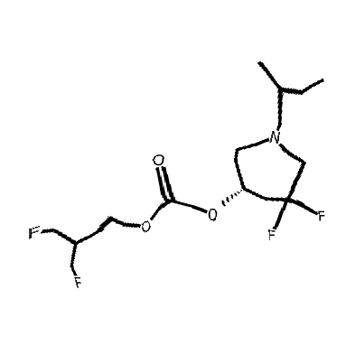 CC(C)N1C[C@@H](OC(=O)OCC(F)F)C(F)(F)C1